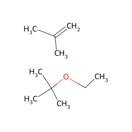 C=C(C)C.CCOC(C)(C)C